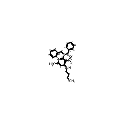 CCCCNc1cc(C)nc(N(Cc2ccccc2)Cc2ccccc2)c1[N+](=O)[O-]